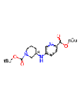 CCCCOC(=O)c1ccc(N[C@@H]2CCCN(C(=O)OC(C)(C)C)C2)cn1